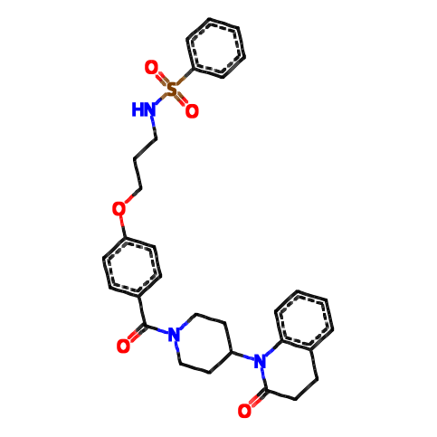 O=C(c1ccc(OCCCNS(=O)(=O)c2ccccc2)cc1)N1CCC(N2C(=O)CCc3ccccc32)CC1